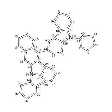 c1ccc(-n2c3ccccc3c3cc(-c4c5ccccc5cc5c4c4cccc6c7ccccc7n5c64)ccc32)cc1